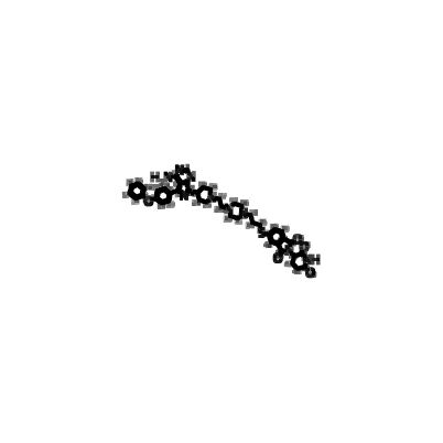 Nc1ncnc2c1c(-c1ccc(Oc3ccccc3)cc1)nn2C1CCN(CCN2CCN(CCCSc3ccc4c(c3)C(=O)N(C3CCC(=O)NC3=O)C4=O)CC2)CC1